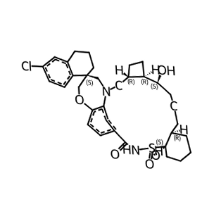 O=C1NS(=O)(=O)[C@H]2CCCC[C@@H]2CCC[C@H](O)[C@@H]2CC[C@H]2CN2C[C@@]3(CCCc4cc(Cl)ccc43)COc3ccc1cc32